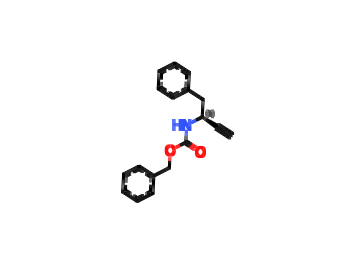 C#C[C@H](Cc1ccccc1)NC(=O)OCc1ccccc1